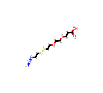 [N-]=[N+]=NCCSSCCOCCOCCC(=O)O